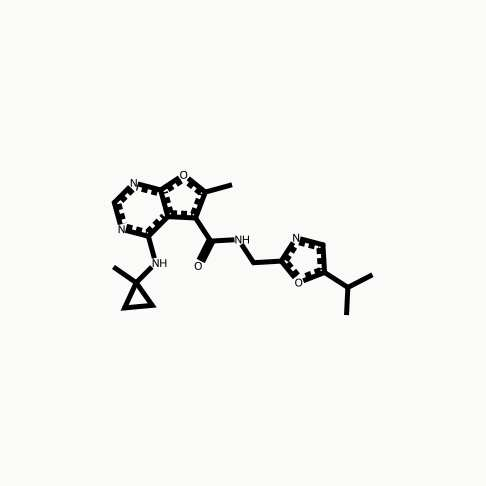 Cc1oc2ncnc(NC3(C)CC3)c2c1C(=O)NCc1ncc(C(C)C)o1